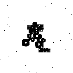 CC(=O)Nc1ccn(C(=O)[C@H](OC(=O)c2ccccc2)[C@H](CO)OC(C(C)C)(C(C)C)P(=O)(O)O)c(=O)n1